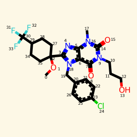 COC1(c2nc3c(c(=O)n(CCCO)c(=O)n3C)n2Cc2ccc(Cl)cc2)CCC(C(F)(F)F)CC1